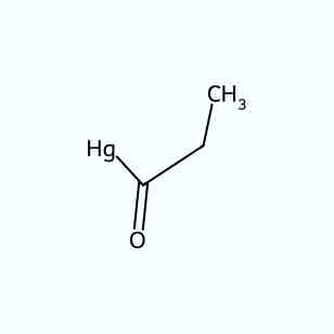 CC[C](=O)[Hg]